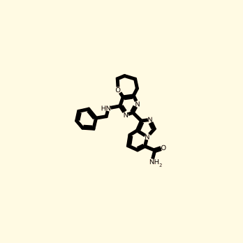 NC(=O)c1cccc2c(-c3nc4c(c(NCc5ccccc5)n3)OCCCC4)ncn12